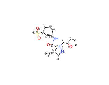 Cc1nn(CC2CCCO2)c(C(=O)Nc2cccc(S(C)(=O)=O)c2)c1C(F)(F)F